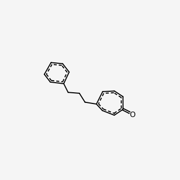 O=c1cccc(CCCc2ccccc2)cc1